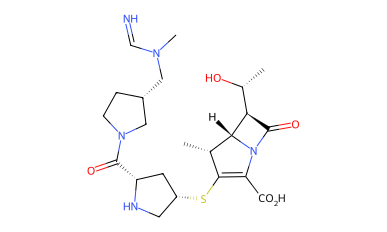 C[C@@H](O)[C@H]1C(=O)N2C(C(=O)O)=C(S[C@@H]3CN[C@H](C(=O)N4CC[C@H](CN(C)C=N)C4)C3)[C@H](C)[C@H]12